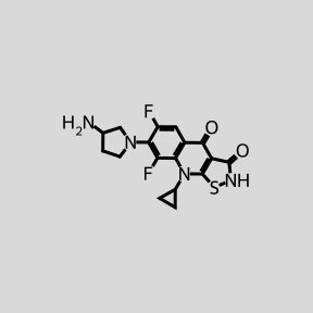 NC1CCN(c2c(F)cc3c(=O)c4c(=O)[nH]sc4n(C4CC4)c3c2F)C1